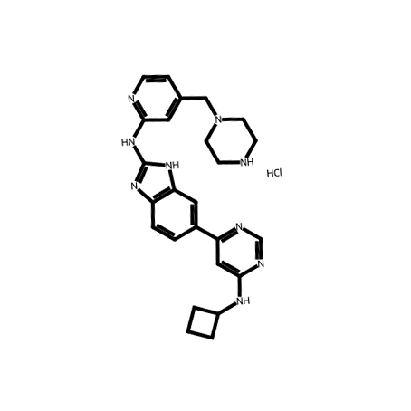 Cl.c1cc(CN2CCNCC2)cc(Nc2nc3ccc(-c4cc(NC5CCC5)ncn4)cc3[nH]2)n1